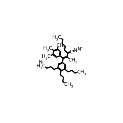 CCCCCC(=C=[N+]=[N-])C(C)=C(c1cc(C)c(C)c(C)c1)c1cc(CCCC)c(CCCC)c(CCCC)c1.[Ni]